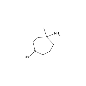 CC(C)N1CCCC(C)(N)CC1